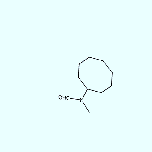 CN(C=O)C1CCCCCCC1